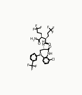 NC(=O)[C@@H](CCC(F)(F)F)[C@@H](CCC(F)(F)F)C(=O)N[C@H]1CN(c2cccc(C(F)(F)F)c2)c2cccc(Cl)c2NC1=O